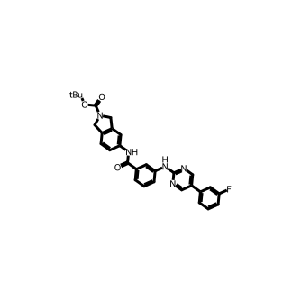 CC(C)(C)OC(=O)N1Cc2ccc(NC(=O)c3cccc(Nc4ncc(-c5cccc(F)c5)cn4)c3)cc2C1